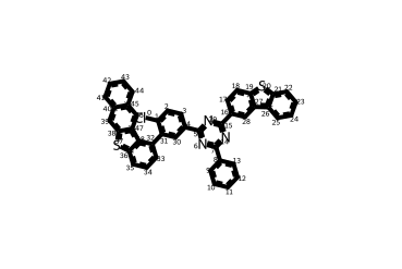 Clc1ccc(-c2nc(-c3ccccc3)nc(-c3ccc4sc5ccccc5c4c3)n2)cc1-c1cccc2sc3cc4ccccc4cc3c12